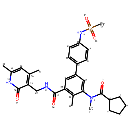 CCN(C(=O)C1CCCC1)c1cc(-c2ccc(NS(=O)(=O)C(C)C)cc2)cc(C(=O)NCc2c(C)cc(C)[nH]c2=O)c1C